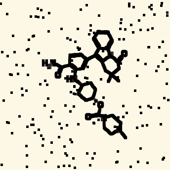 CN1CCN(C(=O)O[C@H]2CC[C@H](Nc3cc(-c4c5n(c6ccccc46)C(=O)CC(C)(C)C5)ccc3C(N)=O)CC2)CC1